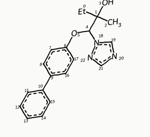 CCC(C)(O)C(Oc1ccc(-c2ccccc2)cc1)n1cncn1